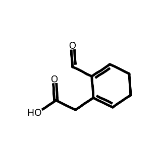 O=CC1=CCCC=C1CC(=O)O